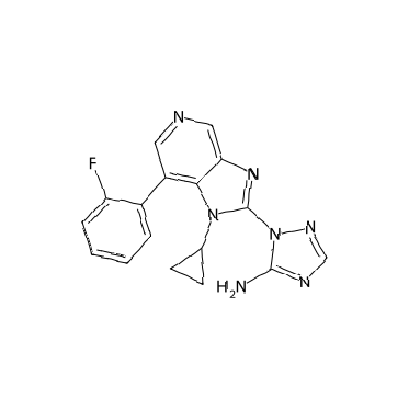 Nc1ncnn1-c1nc2cncc(-c3ccccc3F)c2n1C1CC1